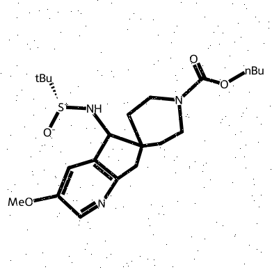 CCCCOC(=O)N1CCC2(CC1)Cc1ncc(OC)cc1C2N[S@+]([O-])C(C)(C)C